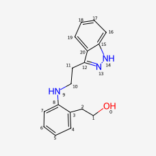 OCCc1ccccc1NCCc1n[nH]c2ccccc12